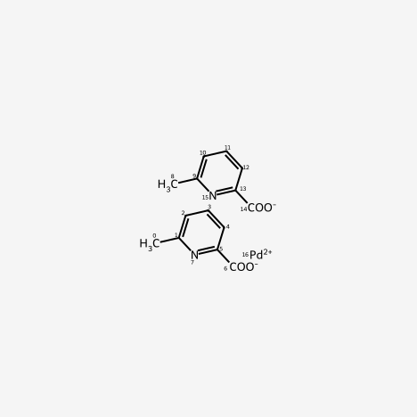 Cc1cccc(C(=O)[O-])n1.Cc1cccc(C(=O)[O-])n1.[Pd+2]